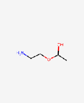 C[C](O)OCCN